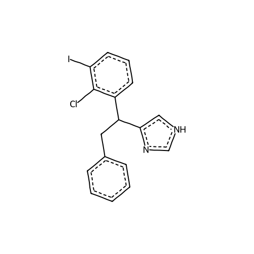 Clc1c(I)cccc1C(Cc1ccccc1)c1c[nH]cn1